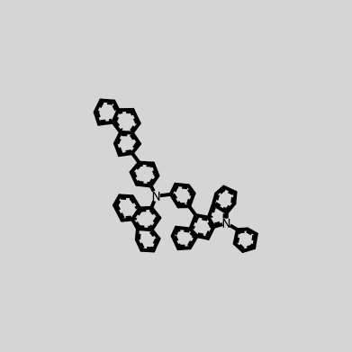 c1ccc(-n2c3ccccc3c3c(-c4cccc(N(c5ccc(-c6ccc7c(ccc8ccccc87)c6)cc5)c5cc6ccccc6c6ccccc56)c4)c4ccccc4cc32)cc1